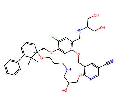 CC1(C)C(c2ccccc2)=CC=C[C@]1(COc1cc(OCc2cncc(C#N)c2)c(CNC(CO)CO)cc1Cl)OCCCNCC(O)CO